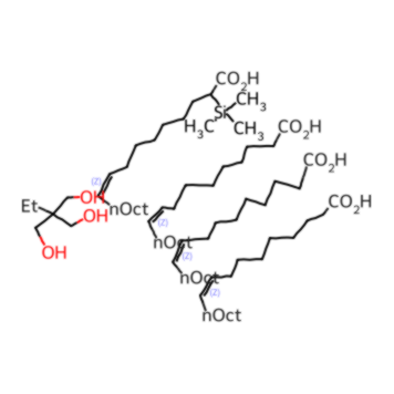 CCC(CO)(CO)CO.CCCCCCCC/C=C\CCCCCCC(C(=O)O)[Si](C)(C)C.CCCCCCCC/C=C\CCCCCCCC(=O)O.CCCCCCCC/C=C\CCCCCCCC(=O)O.CCCCCCCC/C=C\CCCCCCCC(=O)O